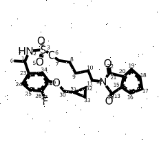 CC(NS(=O)(=O)CCCCCCN1C(=O)c2ccccc2C1=O)c1ccc(F)c(OCC2CC2)c1